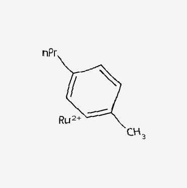 CCCc1ccc(C)cc1.[Ru+2]